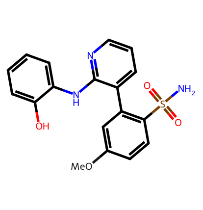 COc1ccc(S(N)(=O)=O)c(-c2cccnc2Nc2ccccc2O)c1